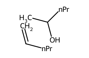 C=CCCC.CCCC(C)O